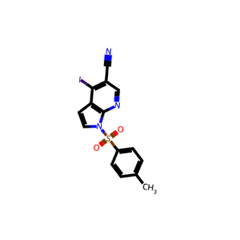 Cc1ccc(S(=O)(=O)n2ccc3c(I)c(C#N)cnc32)cc1